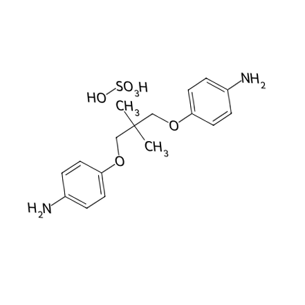 CC(C)(COc1ccc(N)cc1)COc1ccc(N)cc1.O=S(=O)(O)O